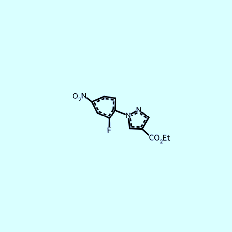 CCOC(=O)c1cnn(-c2ccc([N+](=O)[O-])cc2F)c1